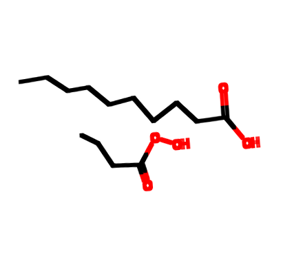 CCCC(=O)OO.CCCCCCCCCC(=O)O